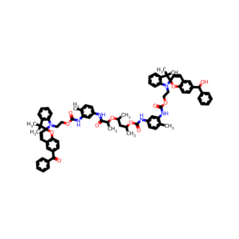 Cc1ccc(NC(=O)OC(C)CC(C)OC(C)C(=O)Nc2ccc(C)c(NC(=O)OCCN3c4ccccc4C(C)(C)C34C=Cc3cc(C(=O)c5ccccc5)ccc3O4)c2)cc1NC(=O)OCCN1c2ccccc2C(C)(C)C12C=Cc1cc(C(O)c3ccccc3)ccc1O2